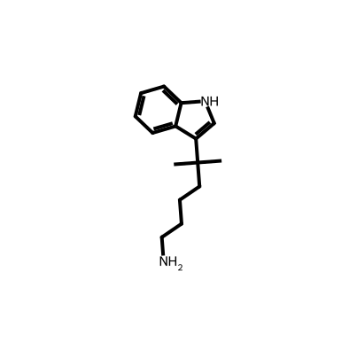 CC(C)(CCCCN)c1c[nH]c2ccccc12